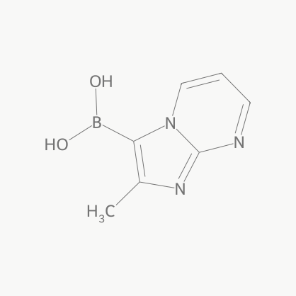 Cc1nc2ncccn2c1B(O)O